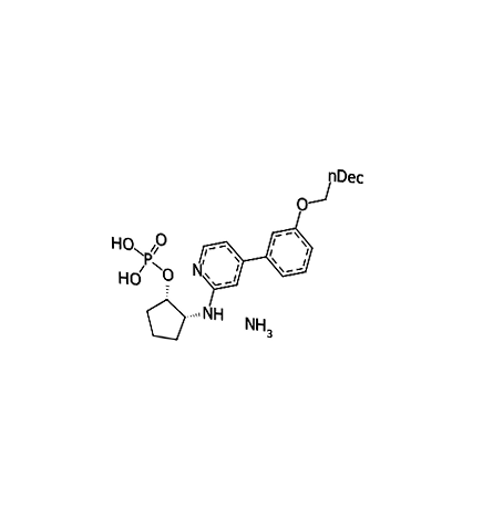 CCCCCCCCCCCOc1cccc(-c2ccnc(N[C@@H]3CCC[C@@H]3OP(=O)(O)O)c2)c1.N